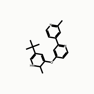 Cc1cc(-c2cc(OC3=CC(C(C)(C)C)=[C]NC3C)ccn2)ccn1